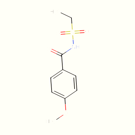 CCS(=O)(=O)NC(=O)c1ccc(OC)cc1